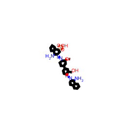 COc1cc(-c2ccc(N=Nc3ccc4ccccc4c3N)c(CO)c2)ccc1N=Nc1cc(S(=O)(=O)O)c2ccccc2c1N